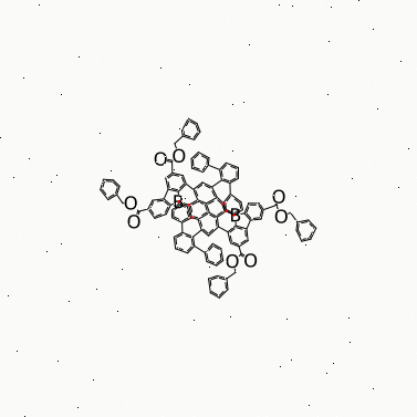 O=C(OCc1ccccc1)c1ccc2c(c1)-c1cc(C(=O)OCc3ccccc3)cc3c1B2c1cc2c(-c4c(-c5ccccc5)cccc4-c4ccccc4)cc4c5c(cc6c(-c7c(-c8ccccc8)cccc7-c7ccccc7)cc-3c1c6c25)B1c2ccc(C(=O)OCc3ccccc3)cc2-c2cc(C(=O)OCc3ccccc3)cc-4c21